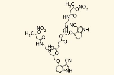 CC(CC(=O)NCCNCC(COc1cccc2[nH]cc(C#N)c12)OC(=O)/C=C/C(=O)OC(CNCCNC(=O)CC(C)O[N+](=O)[O-])COc1cccc2[nH]cc(C#N)c12)O[N+](=O)[O-]